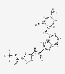 CC(C)(C)OC(=O)N1CCC(NC(=O)c2cc3nccc(Oc4ccc(N)cc4F)c3s2)C1